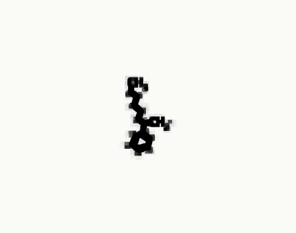 [CH2]C(CCCCCC)c1ccccc1